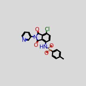 Cc1ccc(S(=O)(=O)Nc2ccc(Cl)c3c2C(=O)N(c2cccnc2)C3=O)cc1